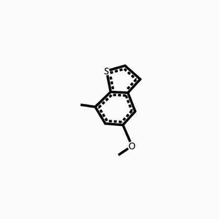 COc1cc(C)c2sccc2c1